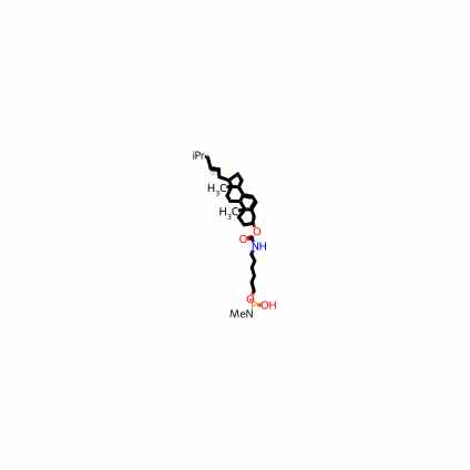 CNP(O)OCCCCCCNC(=O)OC1CCC2(C)C(=CC=C3C2CCC2(C)C(C/C=C/CC(C)C)CCC32)C1